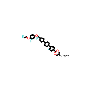 CCCCCC1COC(c2ccc(C3CCC(C4CCC(C(F)(F)Oc5ccc(OCCF)c(F)c5)CC4)CC3)c(F)c2)OC1